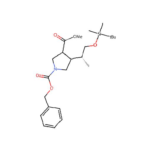 COC(=O)C1CN(C(=O)OCc2ccccc2)CC1[C@@H](C)CO[Si](C)(C)C(C)(C)C